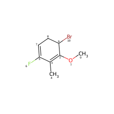 COC1=C(C)C(F)=CCC1Br